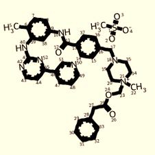 CS(=O)(=O)[O-].Cc1ccc(NC(=O)c2ccc(CN3CC[N+](C)(COC(=O)Cc4ccccc4)CC3)cc2)cc1Nc1nccc(-c2cccnc2)n1